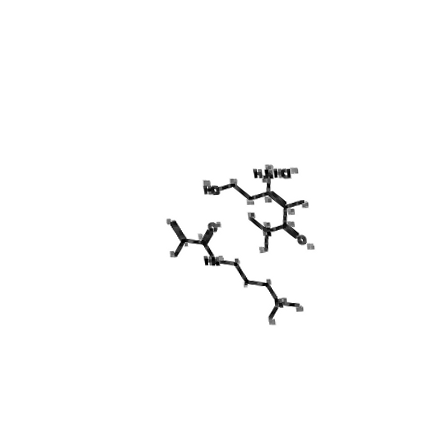 C=C(C)C(=O)NCCCN(C)C.CC(C(=O)N(C)C)=C(N)CCO.Cl